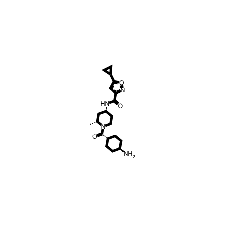 C[C@@H]1C[C@H](NC(=O)c2cc(C3CC3)on2)CCN1C(=O)[C@H]1CC[C@H](N)CC1